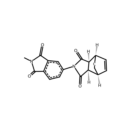 CN1C(=O)c2ccc(N3C(=O)[C@@H]4[C@H](C3=O)[C@@H]3C=C[C@H]4CC3)cc2C1=O